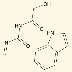 C=NC(=O)NC(=O)CO.c1ccc2[nH]ccc2c1